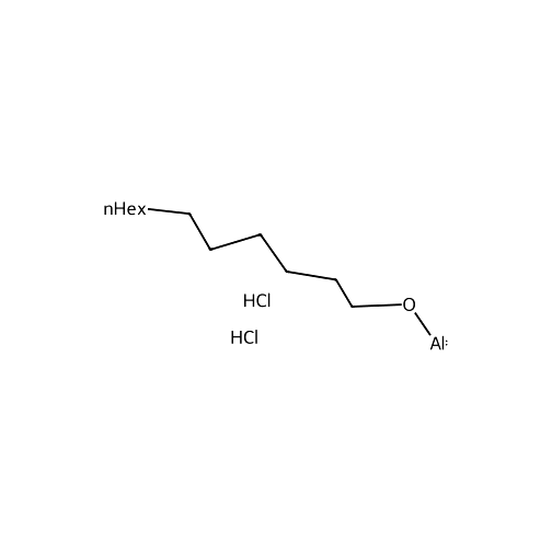 CCCCCCCCCCCC[O][Al].Cl.Cl